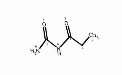 CCC(=O)NC(N)=O